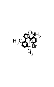 Cc1ccc(C)c(C2CCC(=O)N2c2nc(Br)ccc2N)c1